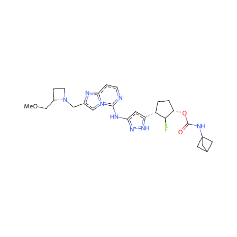 COCC1CCN1Cc1cn2c(Nc3cc([C@@H]4CC[C@H](OC(=O)NC56CC(C5)C6)[C@H]4F)[nH]n3)nccc2n1